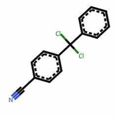 N#Cc1ccc(C(Cl)(Cl)c2ccccc2)cc1